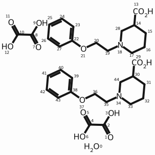 O.O=C(O)C(=O)O.O=C(O)C(=O)O.O=C(O)C1CCCN(CCOc2ccccc2)C1.O=C(O)C1CCCN(CCOc2ccccc2)C1